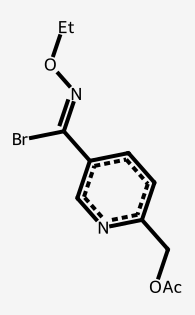 CCON=C(Br)c1ccc(COC(C)=O)nc1